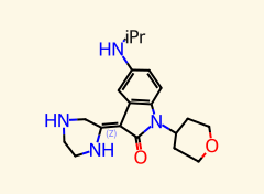 CC(C)Nc1ccc2c(c1)/C(=C1\CNCCN1)C(=O)N2C1CCOCC1